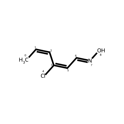 C\C=C/C(Cl)=C\C=N\O